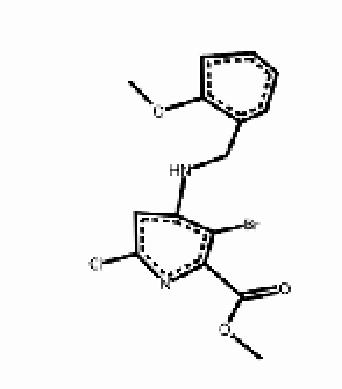 COC(=O)c1nc(Cl)cc(NCc2ccccc2OC)c1Br